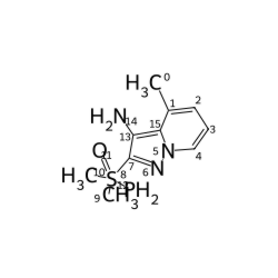 Cc1cccn2nc(S(C)(C)(=O)P)c(N)c12